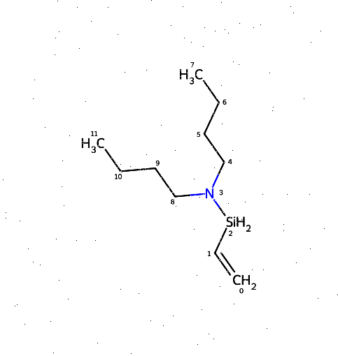 C=C[SiH2]N(CCCC)CCCC